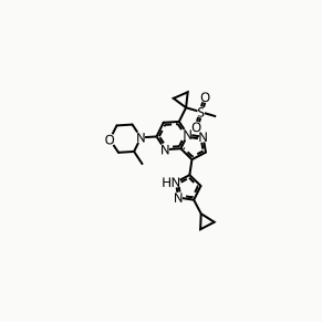 CC1COCCN1c1cc(C2(S(C)(=O)=O)CC2)n2ncc(-c3cc(C4CC4)n[nH]3)c2n1